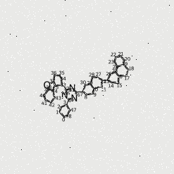 c1ccc(-c2nc(-c3ccc4cc(-c5ccc6ccc7ccccc7c6c5)ccc4c3)nc(-c3cccc4oc5ccccc5c34)n2)cc1